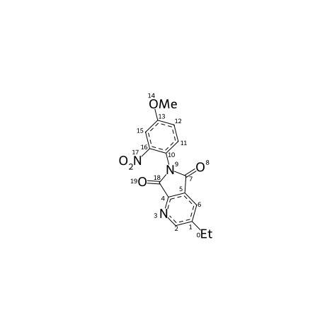 CCc1cnc2c(c1)C(=O)N(c1ccc(OC)cc1[N+](=O)[O-])C2=O